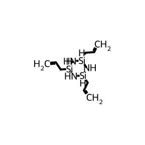 C=CC[SiH]1N[SiH](CC=C)N[SiH](CC=C)N1